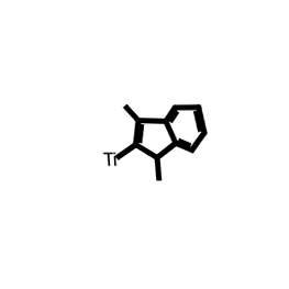 CC1=[C]([Ti])C(C)c2ccccc21